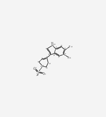 CS(=O)(=O)N1CC=C(c2c[nH]c3cc(F)c(F)cc23)CC1